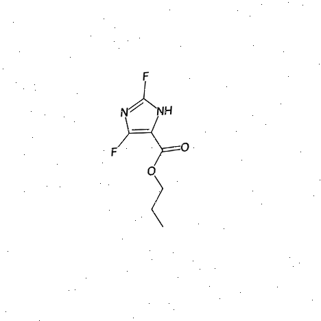 CCCOC(=O)c1[nH]c(F)nc1F